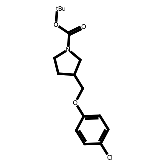 CC(C)(C)OC(=O)N1CCC(COc2ccc(Cl)cc2)C1